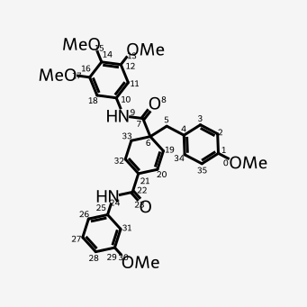 COc1ccc(CC2(C(=O)Nc3cc(OC)c(OC)c(OC)c3)C=CC(C(=O)Nc3cccc(OC)c3)=CC2)cc1